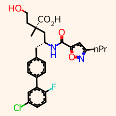 CCCc1cc(C(=O)N[C@H](Cc2ccc(-c3cc(Cl)ccc3F)cc2)C[C@@](C)(CCO)C(=O)O)on1